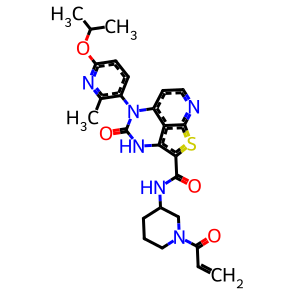 C=CC(=O)N1CCCC(NC(=O)c2sc3nccc4c3c2NC(=O)N4c2ccc(OC(C)C)nc2C)C1